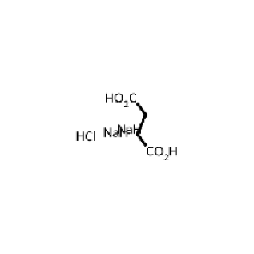 Cl.O=C(O)CCC(=O)O.[NaH].[NaH]